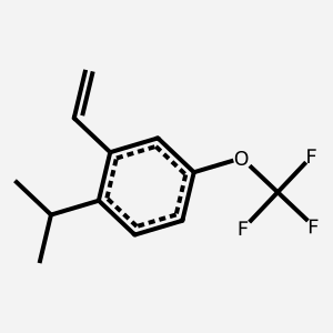 C=Cc1cc(OC(F)(F)F)ccc1C(C)C